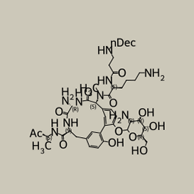 CCCCCCCCCCNCCC(=O)N[C@@H](CCCCN)C(=O)N(C)[C@@H]1C(=O)N[C@@H](N)C(=O)N[C@H](C(=O)N[C@@H](C)C(C)=O)Cc2ccc(O)c(c2)-c2cc1ccc2OC1O[C@H](CO)[C@@H](O)[C@H](O)[C@H]1N